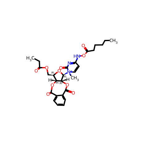 CCCCCC(=O)ONC1=NC(=O)[N+](C)([C@@H]2O[C@H](COC(=O)CC)[C@H]3OC(=O)c4ccccc4C(=O)O[C@H]32)C=C1